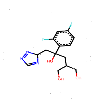 OCC(CO)CC(O)(CC1N=CN=N1)c1ccc(F)cc1F